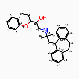 CCC(Oc1ccccc1)C(O)CNC(C)(C)CC1c2ccccc2CCc2ccccc21